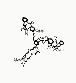 COCCOCCOCCN(CC(C)(C)SSCCCC(N)=O)c1cc(COc2cc3c(cc2OC)C(=O)N2c4ccccc4C[C@H]2CN3)cc(COc2cc3c(cc2OC)C(=O)N2c4ccccc4C[C@H]2C(S(=O)(=O)O)N3)c1